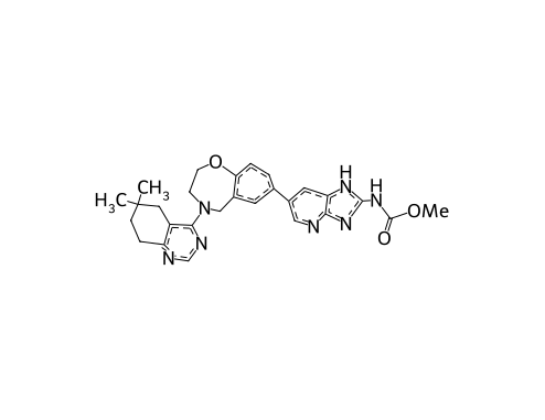 COC(=O)Nc1nc2ncc(-c3ccc4c(c3)CN(c3ncnc5c3CC(C)(C)CC5)CCO4)cc2[nH]1